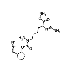 [N-]=[N+]=N[C@@H]1CCC[C@H]1OC(=O)N(N)CCCC[C@H](N=NN)C(=O)ON